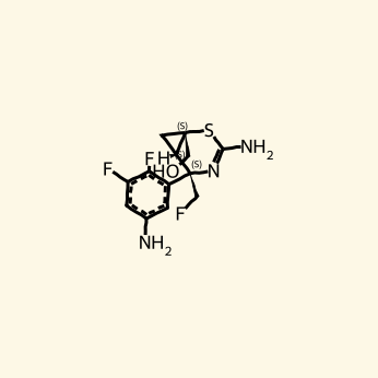 NC1=N[C@](CF)(c2cc(N)cc(F)c2F)[C@@H]2C[C@]2(CO)S1